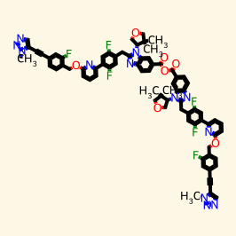 Cn1nncc1C#Cc1ccc(COc2cccc(-c3cc(F)c(Cc4nc5ccc(C(=O)OC(=O)c6ccc7nc(Cc8cc(F)c(-c9cccc(OCc%10ccc(C#Cc%11cnnn%11C)cc%10F)n9)cc8F)n(C8COCC8(C)C)c7c6)cc5n4C4COCC4(C)C)cc3F)n2)c(F)c1